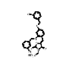 O=C(O)CN1C(=O)C(=Cc2ccc(OCc3cccc(Cl)c3)cc2OCc2cccc(Cl)c2)SC1=S